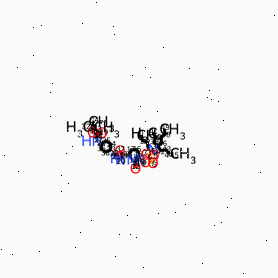 CCCCN(OS(=O)(=O)ON1C(=O)N2CC1CC[C@H]2c1nnc([C@H]2CC[C@@H](NC(=O)OC(C)(C)C)CC2)o1)C(CCC)(CCCC)CCCC